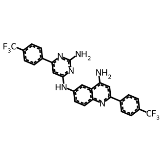 Nc1nc(Nc2ccc3nc(-c4ccc(C(F)(F)F)cc4)cc(N)c3c2)cc(-c2ccc(C(F)(F)F)cc2)n1